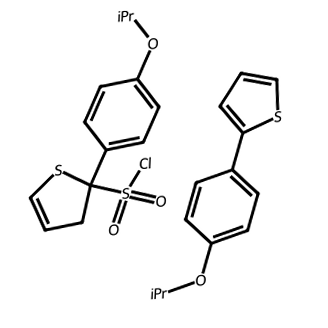 CC(C)Oc1ccc(-c2cccs2)cc1.CC(C)Oc1ccc(C2(S(=O)(=O)Cl)CC=CS2)cc1